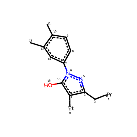 CCc1c(CC(C)C)nn(-c2ccc(C)c(C)c2)c1O